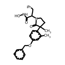 Cc1cc(OCc2ccccc2)ccc1C1(C)CCN(C(CC(C)C)C(=O)NO)C1=O